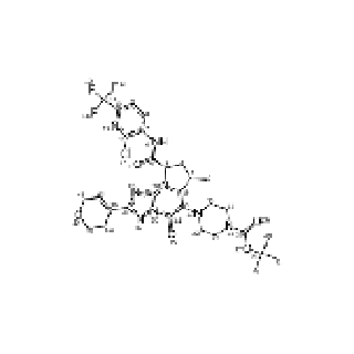 C[C@@H]1C[C@H](C(=O)Nc2ccc(C(F)(F)F)nc2Cl)n2c1c(N1CCN(C(=O)OC(C)(C)C)CC1)c(=O)n1nc(C3=CCOCC3)nc21